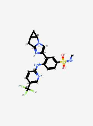 CNS(=O)(=O)c1ccc(Nc2ccc(C(F)(F)F)cn2)c(-c2cn3c(n2)CC2CC23)c1